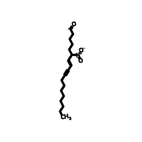 CCCCCCCCC#CC=CC(CCCC[C]=O)[N+](=O)[O-]